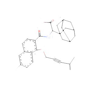 CC(C)C#CCOc1c(C(=O)NC(C(=O)O)C23CC4CC(CC(C4)C2)C3)ccc2cc(F)ccc12